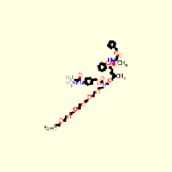 COCCOCCOCCOCCOCCOCCOCCN(COC/C(C)=C/CCP(=O)(N[C@@H](C)C(=O)OCc1ccccc1)Oc1ccccc1)C(=O)OCc1ccc(NC(=O)[C@H](C)N)cc1